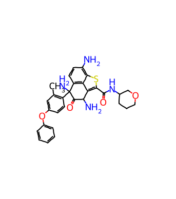 Cc1cc(Oc2ccccc2)ccc1C1(N)C(=O)C(N)c2c(C(=O)NC3CCCOC3)sc3c(N)ccc1c23